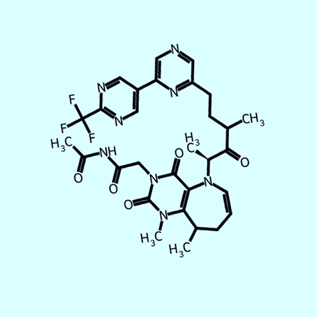 CC(=O)NC(=O)Cn1c(=O)c2c(n(C)c1=O)C(C)CC=CN2[C@@H](C)C(=O)C(C)CCc1cncc(-c2cnc(C(F)(F)F)nc2)n1